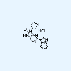 Cl.O=c1[nH]c2cnc(-c3cnn4ccccc34)nc2n1C1CCNC1